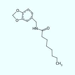 CCCCCCCC(=O)NCc1ccc2c(c1)OCO2